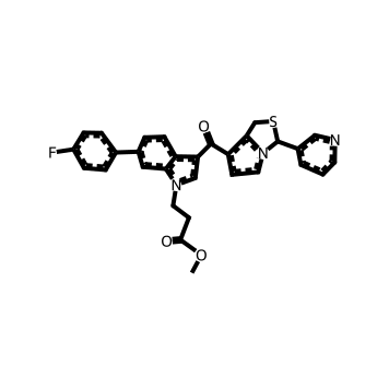 COC(=O)CCn1cc(C(=O)c2ccn3c2CSC3c2cccnc2)c2ccc(-c3ccc(F)cc3)cc21